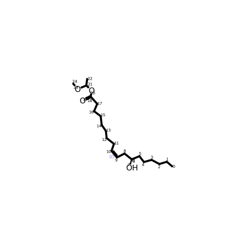 CCCCCC[C@@H](O)C/C=C\CCCCCCCC(=O)OC(C)OC